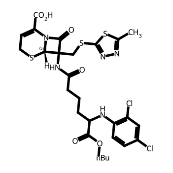 CCCCOC(=O)C(CCCC(=O)NC1(CSc2nnc(C)s2)C(=O)N2C(C(=O)O)=CCS[C@H]21)Nc1ccc(Cl)cc1Cl